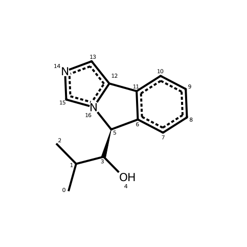 CC(C)C(O)[C@@H]1c2ccccc2-c2cncn21